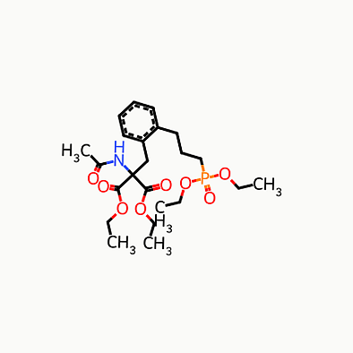 CCOC(=O)C(Cc1ccccc1CCCP(=O)(OCC)OCC)(NC(C)=O)C(=O)OCC